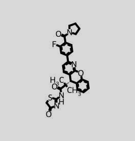 CC(C)(C(=O)NC1=NC(=O)CS1)[C@H]1c2ccccc2Oc2nc(-c3ccc(C(=O)N4CCCC4)c(F)c3)ccc21